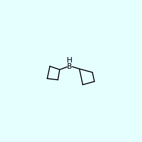 B(C1CCC1)C1CCC1